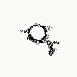 C=C1[C@H](C)C[C@H](C)/C=C/C=C/C=C(\C)[C@@H](OC)C[C@@H]2CC[C@@H](C)[C@@](O)(O2)C(=O)C(=O)N2CCCC[C@H]2C(=O)O[C@H]([C@H](C)C[C@@H]2CC[C@@H](OC(=O)NS(=O)(=O)N3CCOCC3)[C@H](OC)C2)CC(=O)[C@H](C)/C=C(\C)[C@@H](O)[C@H]1OC